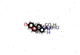 C[C@]12CCC(=O)C=C1CC[C@H]1[C@@H]3CC/C(=C(\NC=O)C(=O)O)[C@@]3(C)CC[C@@]12O